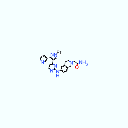 CCn1cc(-c2ccnc(Nc3ccc4c(c3)CCN(CC(N)=O)C4)n2)c(-c2cccnc2)n1